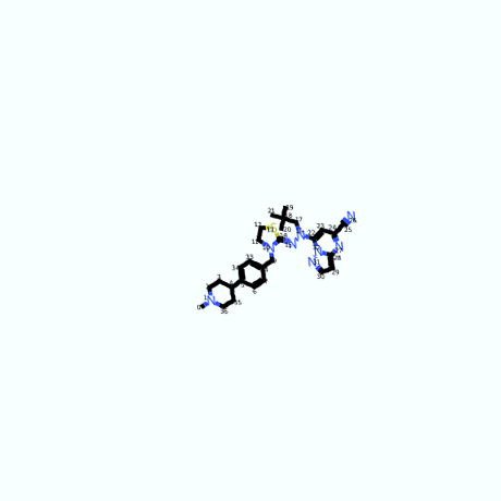 CN1CCC(c2ccc(CN3CCS/C3=N\N(CC(C)(C)C)c3cc(C#N)nc4ccnn34)cc2)CC1